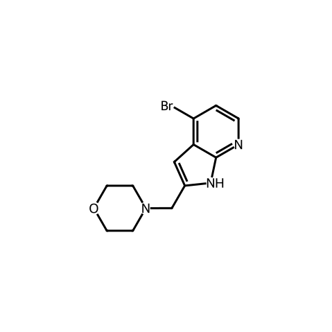 Brc1ccnc2[nH]c(CN3CCOCC3)cc12